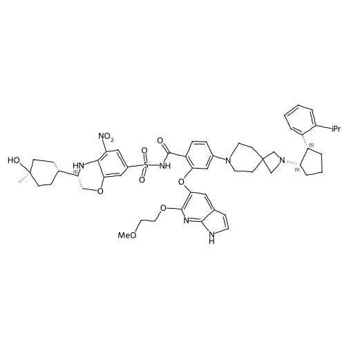 COCCOc1nc2[nH]ccc2cc1Oc1cc(N2CCC3(CC2)CN([C@H]2CCC[C@H]2c2ccccc2C(C)C)C3)ccc1C(=O)NS(=O)(=O)c1cc2c(c([N+](=O)[O-])c1)N[C@@H]([C@H]1CC[C@](C)(O)CC1)CO2